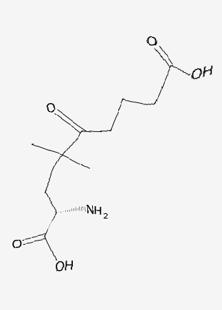 CC(C)(C[C@H](N)C(=O)O)C(=O)CCCC(=O)O